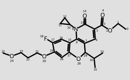 CCOC(=O)c1cc2c(n(C3CC3)c1=O)-c1cc(F)c(OCCCOC)cc1OC2C(C)C